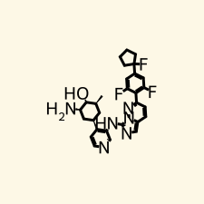 C[C@H]1C[C@@H](c2ccncc2Nc2ncc3ccc(-c4c(F)cc(C5(F)CCCC5)cc4F)nn23)C[C@@H](N)[C@@H]1O